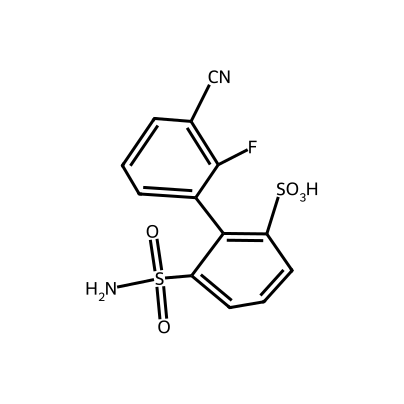 N#Cc1cccc(-c2c(S(N)(=O)=O)cccc2S(=O)(=O)O)c1F